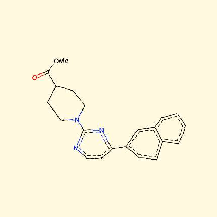 COC(=O)C1CCN(c2nccc(-c3ccc4ccccc4c3)n2)CC1